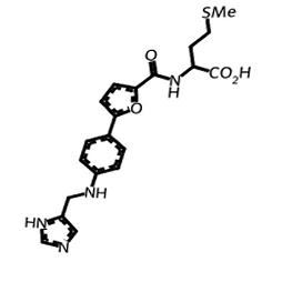 CSCCC(NC(=O)c1ccc(-c2ccc(NCc3cnc[nH]3)cc2)o1)C(=O)O